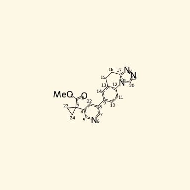 COC(=O)C1(c2cncc(-c3ccc4c(c3)CCc3nncn3-4)c2)CC1